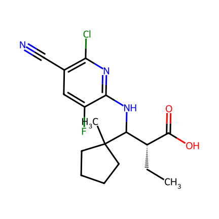 CC[C@@H](C(=O)O)C(Nc1nc(Cl)c(C#N)cc1F)C1(C)CCCC1